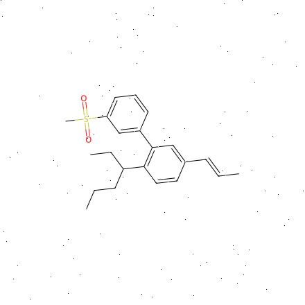 C/C=C/c1ccc(C(CC)CCC)c(-c2cccc(S(C)(=O)=O)c2)c1